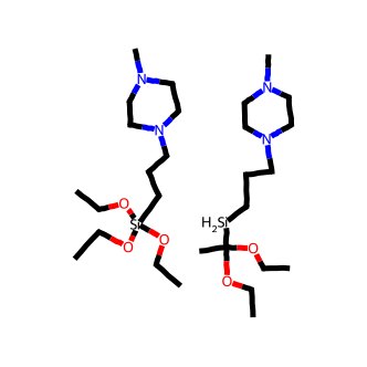 CCOC(C)(OCC)[SiH2]CCCN1CCN(C)CC1.CCO[Si](CCCN1CCN(C)CC1)(OCC)OCC